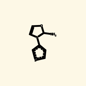 NC1OC=CN1c1ccsc1